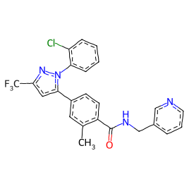 Cc1cc(-c2cc(C(F)(F)F)nn2-c2ccccc2Cl)ccc1C(=O)NCc1cccnc1